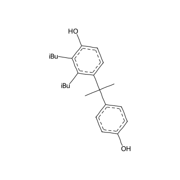 CCC(C)c1c(O)ccc(C(C)(C)c2ccc(O)cc2)c1C(C)CC